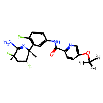 [2H]C([2H])([2H])Oc1ccc(C(=O)Nc2ccc(F)c([C@@]3(C)N=C(N)[C@@](C)(F)C[C@H]3F)c2)nc1